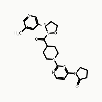 Cc1cncc([C@@H]2CCON2C(=O)C2CCN(c3nccc(N4CCCC4=O)n3)CC2)c1